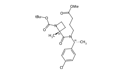 COC(=O)CCCN(C(=O)[C@@]1(C)CCN1C(=O)OC(C)(C)C)[C@H](C)c1ccc(Cl)cc1